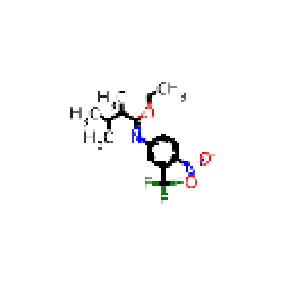 CCO/C(=N\c1ccc([N+](=O)[O-])c(C(F)(F)F)c1)C(C)C(C)C